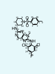 Cc1ccc(S(=O)(=O)N2CCC[C@@H](Nc3ncc4nc(Nc5c(Cl)cc(F)cc5Cl)n(C)c4n3)C2)cc1